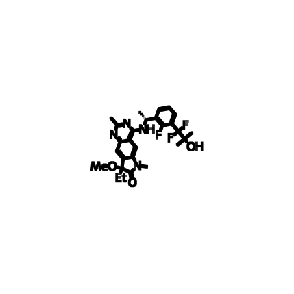 CCC1(OC)C(=O)N(C)c2cc3c(N[C@H](C)c4cccc(C(F)(F)C(C)(C)O)c4F)nc(C)nc3cc21